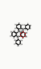 c1ccc(P(c2ccccc2)c2ccccc2Pc2ccccc2P(c2ccccc2)c2ccccc2)cc1